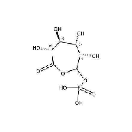 O=C1OC(OP(=O)(O)O)[C@@H](O)[C@@H](O)[C@H](O)[C@H]1O